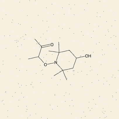 CC(=O)C(C)ON1C(C)(C)CC(O)CC1(C)C